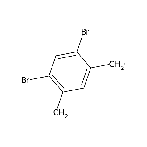 [CH2]c1cc([CH2])c(Br)cc1Br